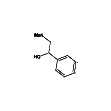 CNCC(O)c1c[c][c]cc1